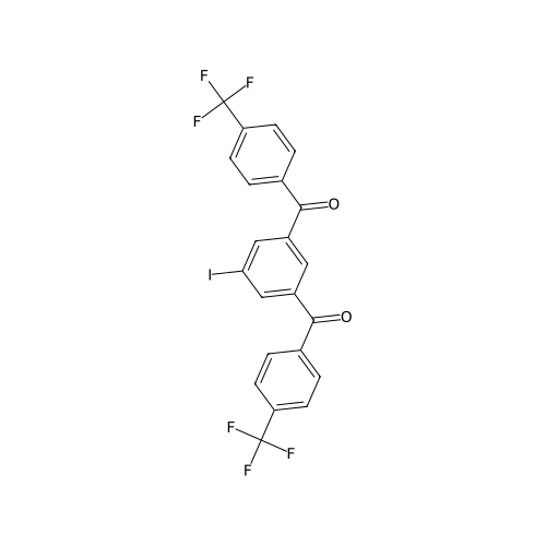 O=C(c1ccc(C(F)(F)F)cc1)c1cc(I)cc(C(=O)c2ccc(C(F)(F)F)cc2)c1